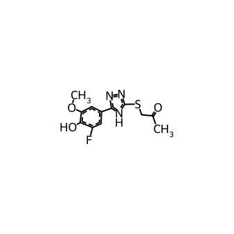 COc1cc(-c2nnc(SCC(C)=O)[nH]2)cc(F)c1O